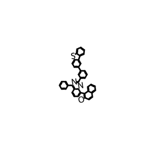 c1ccc(-c2nc(-c3cccc(-c4ccc5sc6ccccc6c5c4)c3)nc3c2ccc2oc4ccc5ccccc5c4c23)cc1